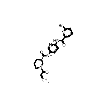 C=CC(=O)N1CCC[C@@H](C(=O)Nc2ccc(NC(=O)c3cccc(Br)n3)nc2)C1